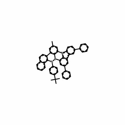 Cc1cc2c3c(c1)-n1c4ccc(-c5ccccc5)cc4c4cc(-c5ccccc5)cc(c41)B3N(c1ccc(C(C)(C)C)cc1)c1c-2ccc2ccccc12